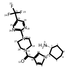 N[C@@H]1CCCC[C@@H]1n1ccc(C(=O)N2CCN(c3ncc(C(F)(F)F)cn3)CC2)c1